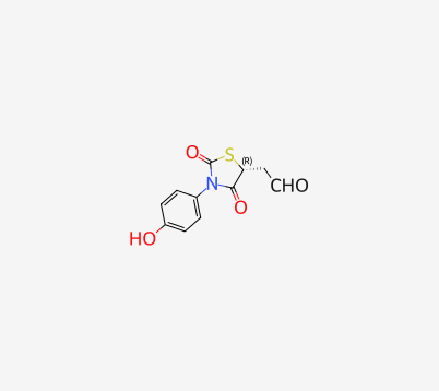 O=CC[C@H]1SC(=O)N(c2ccc(O)cc2)C1=O